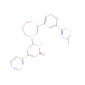 Cc1noc(-c2cccc(C3CN(c4nc(-c5ccncn5)cc(=O)n4C)CCCO3)c2)n1